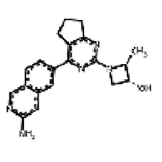 C[C@H]1[C@H](O)CN1c1nc2c(c(-c3ccc4cnc(N)cc4c3)n1)CCC2